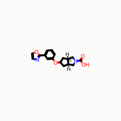 O=C(O)N1C[C@H]2CC(Oc3cccc(-c4ncco4)c3)C[C@@H]2C1